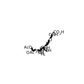 CC(=O)OCC[C@H](CSC[C@H](N)C(=O)N[C@@H](CO)C(=O)NCCOCCOCCC(=O)NCC(=O)O)OC(C)=O